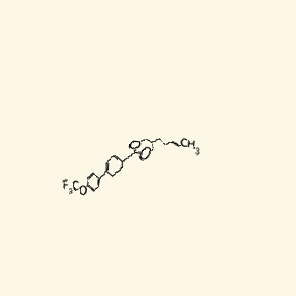 C/C=C/CCC1COC(C2CC=C(c3ccc(OC(F)(F)F)cc3)CC2)OC1